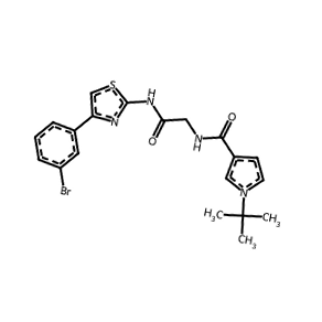 CC(C)(C)n1ccc(C(=O)NCC(=O)Nc2nc(-c3cccc(Br)c3)cs2)c1